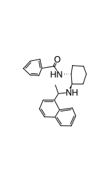 CC(N[C@@H]1CCCC[C@H]1NC(=O)c1ccccc1)c1cccc2ccccc12